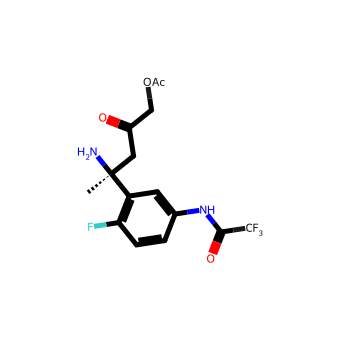 CC(=O)OCC(=O)C[C@](C)(N)c1cc(NC(=O)C(F)(F)F)ccc1F